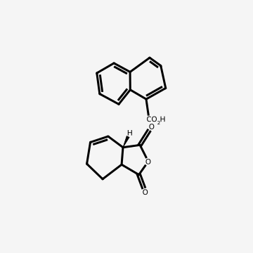 O=C(O)c1cccc2ccccc12.O=C1OC(=O)[C@H]2C=CCCC12